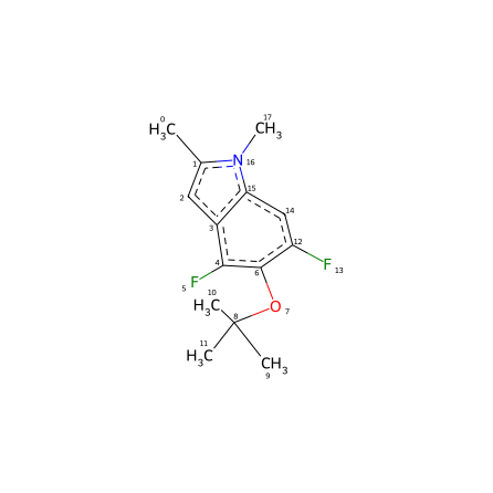 Cc1cc2c(F)c(OC(C)(C)C)c(F)cc2n1C